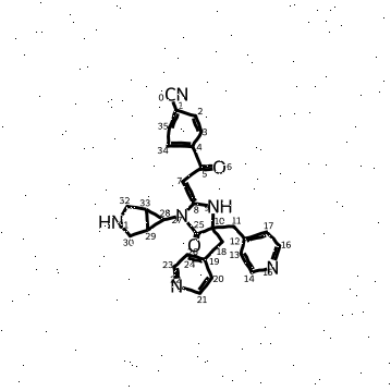 N#Cc1ccc(C(=O)C=C2NC(Cc3ccncc3)(Cc3ccncc3)C(=O)N2C2C3CNCC32)cc1